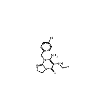 NC1=C(NC=O)C(=O)N2CCN=C2N1Cc1ccc(Cl)cc1